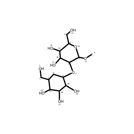 OCC1CC(OC2C(OI)OC(CO)C(O)C2O)C(O)C(O)C1O